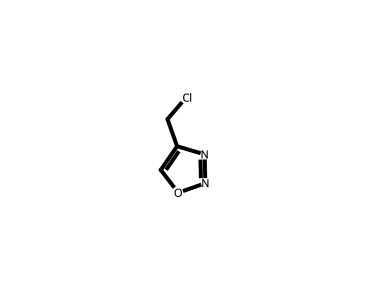 ClCc1conn1